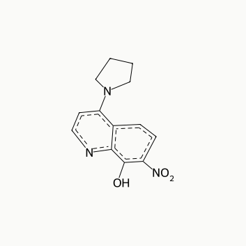 O=[N+]([O-])c1ccc2c(N3CCCC3)ccnc2c1O